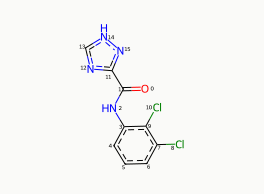 O=C(Nc1cccc(Cl)c1Cl)c1nc[nH]n1